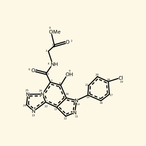 COC(=O)CNC(=O)c1c(O)c2c(cnn2-c2ccc(Cl)cc2)c2ncnn12